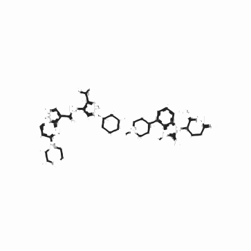 Cn1c(=O)n(C2CCC(=O)NC2=O)c2cccc(C3CCN(C[C@H]4CC[C@H](n5cc(NC(=O)c6cnn7ccc(N8CCOCC8)nc67)c(C(F)F)n5)CC4)CC3)c21